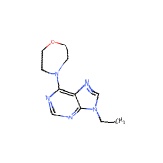 CCn1cnc2c(N3CCOCC3)ncnc21